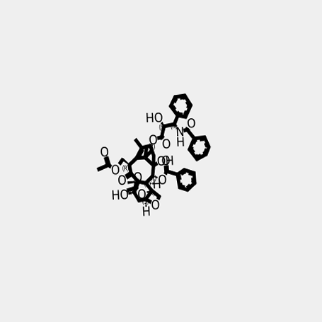 CC(=O)OC[C@@H]1C(=O)[C@@]2(C)[C@H](O)C[C@@H]3OC[C@]3(OC(C)=O)[C@@H]2[C@@H](OC(=O)c2ccccc2)C2(O)C[C@@H](OC(=O)[C@@H](O)[C@H](NC(=O)c3ccccc3)c3ccccc3)C(C)=C1C2(C)C